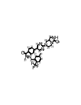 Cc1ccc(C(F)(F)F)c(Cn2c3cc(-c4cnc(N5CCN6C(=O)NCC6C5)nc4)ccc3c(=O)n2C)c1